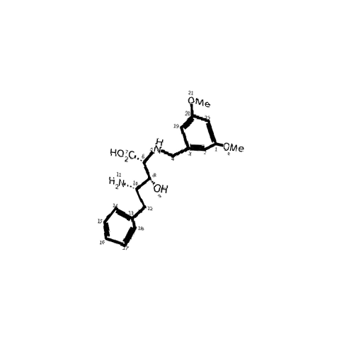 COc1cc(CN[C@@H](C(=O)O)[C@H](O)[C@@H](N)Cc2ccccc2)cc(OC)c1